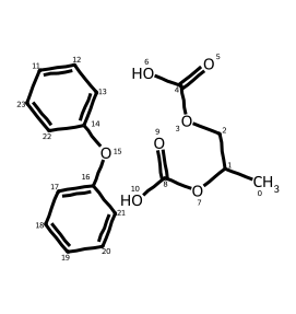 CC(COC(=O)O)OC(=O)O.c1ccc(Oc2ccccc2)cc1